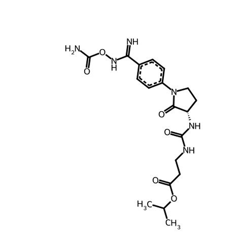 CC(C)OC(=O)CCNC(=O)N[C@H]1CCN(c2ccc(C(=N)NOC(N)=O)cc2)C1=O